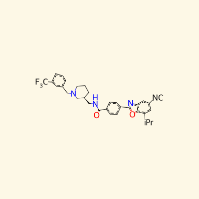 [C-]#[N+]c1cc(C(C)C)c2oc(-c3ccc(C(=O)NC[C@@H]4CCCN(Cc5cccc(C(F)(F)F)c5)C4)cc3)nc2c1